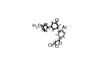 CC(=O)N1CCN(C(=O)C=C(Cl)Cl)C[C@@H]1c1cc(Cl)cc(-c2nnn(C)n2)c1